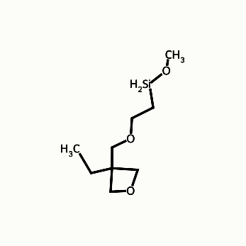 CCC1(COCC[SiH2]OC)COC1